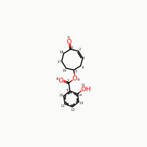 O=C1C=CCC(OC(=O)c2ccccc2O)CCC1